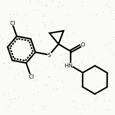 O=C(NC1CCCCC1)C1(Sc2cc(Cl)ccc2Cl)CC1